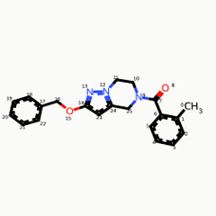 Cc1ccccc1C(=O)N1CCn2nc(OCc3ccccc3)cc2C1